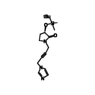 CC(C)(C)[Si](C)(C)O[C@@H]1CCN(CC#CCn2ccnc2)C1=O